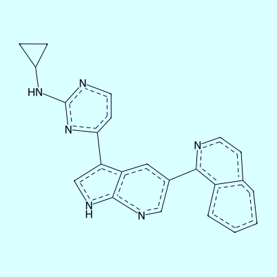 c1ccc2c(-c3cnc4[nH]cc(-c5ccnc(NC6CC6)n5)c4c3)nccc2c1